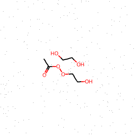 CC(=O)OOCCO.OCCO